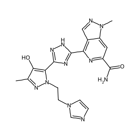 Cc1nn(CCn2ccnc2)c(-c2n[nH]c(-c3nc(C(N)=O)cc4c3cnn4C)n2)c1O